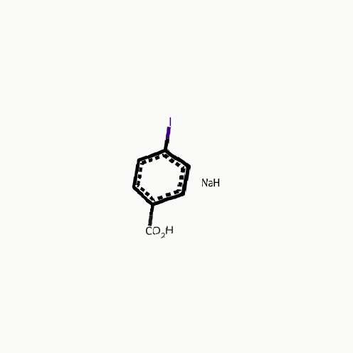 O=C(O)c1ccc(I)cc1.[NaH]